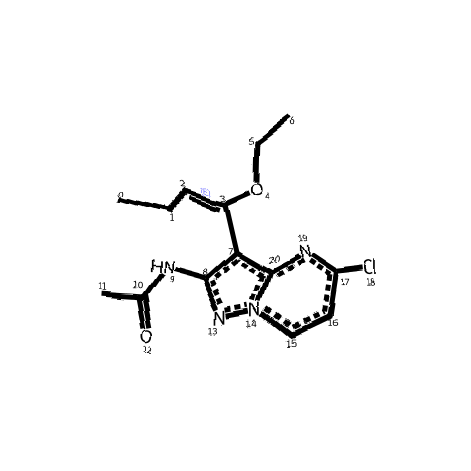 CC/C=C(/OCC)c1c(NC(C)=O)nn2ccc(Cl)nc12